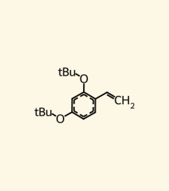 C=Cc1ccc(OC(C)(C)C)cc1OC(C)(C)C